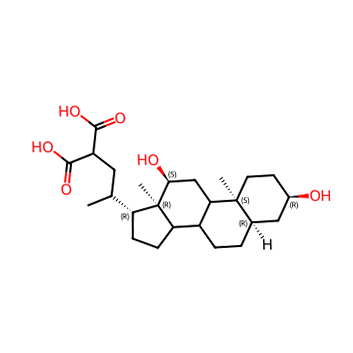 CC(CC(C(=O)O)C(=O)O)[C@H]1CCC2C3CC[C@@H]4C[C@H](O)CC[C@]4(C)C3C[C@H](O)[C@@]21C